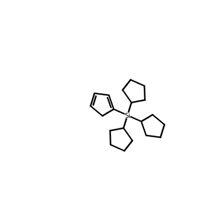 C1=CCC([Si](C2CCCC2)(C2CCCC2)C2CCCC2)=C1